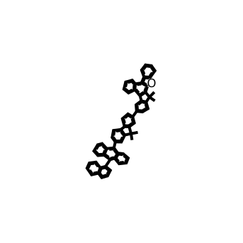 CC1(C)c2cc(-c3ccc4c(c3)-c3c(c5oc6ccccc6c5c5ccccc35)C4(C)C)ccc2-c2ccc(-c3c4ccccc4c(-c4cccc5ccccc45)c4ccccc34)cc21